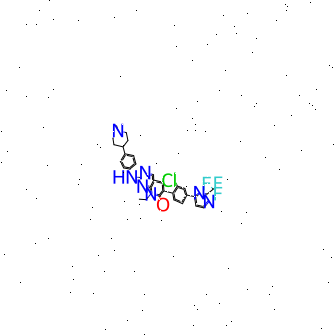 CCn1c(=O)c(-c2ccc(-c3ccnc(C(F)(F)F)n3)cc2Cl)cc2cnc(Nc3ccc(C4CCN(C)CC4)cc3)nc21